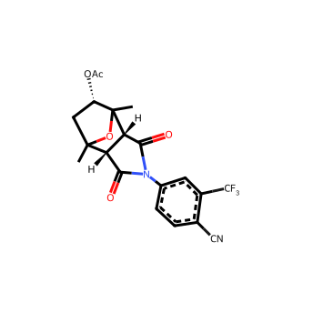 CC(=O)O[C@H]1CC2(C)OC1(C)[C@@H]1C(=O)N(c3ccc(C#N)c(C(F)(F)F)c3)C(=O)[C@@H]12